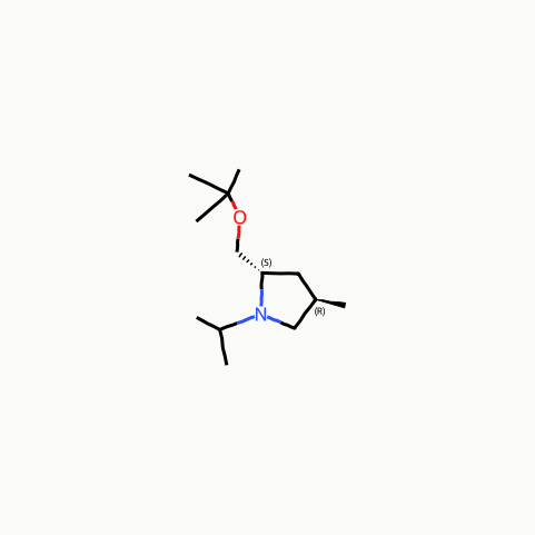 CC(C)N1C[C@H](C)C[C@H]1COC(C)(C)C